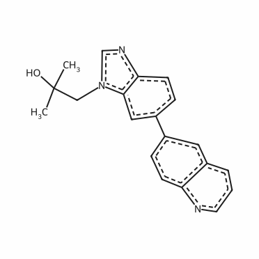 CC(C)(O)Cn1cnc2ccc(-c3ccc4ncccc4c3)cc21